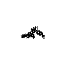 CCc1c(-c2cc(Nc3ccc4c(n3)CCN(C3COC3)C4)c(=O)n(C)c2)cc(F)cc1N1CCc2c(sc3c2CC(C)(C)C3)C1=O